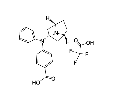 CN1[C@@H]2CC[C@H]1C[C@@H](N(c1ccccc1)c1ccc(C(=O)O)cc1)C2.O=C(O)C(F)(F)F